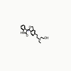 CCN(CCO)CCc1ccc2c(c1)CO/C2=C1/C(=O)Nc2ccccc21